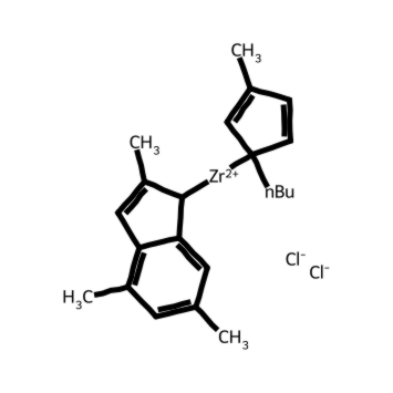 CCCC[C]1([Zr+2][CH]2C(C)=Cc3c(C)cc(C)cc32)C=CC(C)=C1.[Cl-].[Cl-]